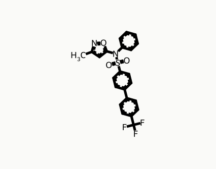 Cc1cc(N(c2ccccc2)S(=O)(=O)c2ccc(-c3ccc(C(F)(F)F)cc3)cc2)on1